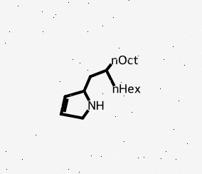 CCCCCCCCC(CCCCCC)CC1C=CCN1